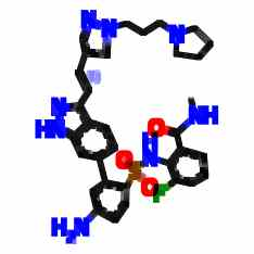 CNC(=O)c1cccc(F)c1NS(=O)(=O)c1ccc(N)cc1-c1ccc2c(/C=C/c3cnn(CCCN4CCCC4)c3)n[nH]c2c1